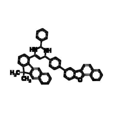 CC1(C)c2cc3ccccc3cc2-c2c(C3=CC(c4ccc(-c5ccc6oc7c8ccccc8ccc7c6c5)cc4)NC(c4ccccc4)N3)cccc21